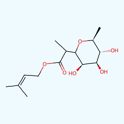 CC(C)=CCOC(=O)C(C)C1O[C@@H](C)[C@H](O)[C@@H](O)[C@H]1O